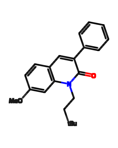 COc1ccc2cc(-c3ccccc3)c(=O)n(CCC(C)(C)C)c2c1